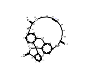 O=C1Nc2ccc3c(c2)Oc2cc(ccc2C32OC(=O)c3ccccc32)NC(=O)OCC/C=C\CCO1